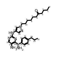 CCCCC(=O)CCCCCCn1cc(Nc2ncc(N)c(N(N)c3ccc(CCC)cc3)n2)cn1